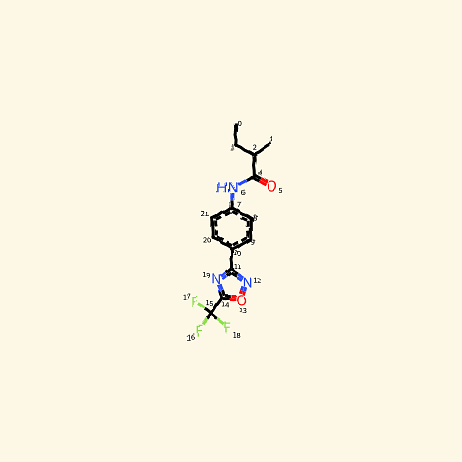 CCC(C)C(=O)Nc1ccc(-c2noc(C(F)(F)F)n2)cc1